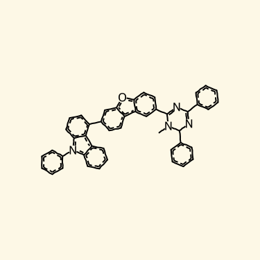 CN1C(c2ccc3oc4cc(-c5cccc6c5c5ccccc5n6-c5ccccc5)ccc4c3c2)=NC(c2ccccc2)=NC1c1ccccc1